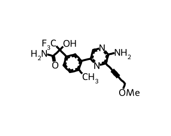 COCC#Cc1nc(-c2cc(C(O)(C(N)=O)C(F)(F)F)ccc2C)cnc1N